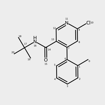 Cc1ccccc1-c1cc(Cl)ncc1C(=O)NC(C)(C)C